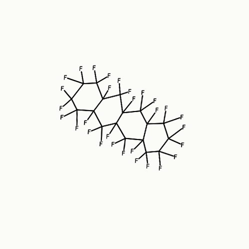 FC1(F)C(F)(F)C(F)(F)C2(F)C(F)(F)C3(F)C(F)(F)C4(F)C(F)(F)C(F)(F)C(F)(F)C(F)(F)C4(F)C(F)(F)C3(F)C(F)(F)C2(F)C1(F)F